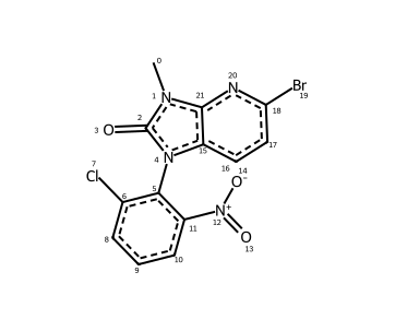 Cn1c(=O)n(-c2c(Cl)cccc2[N+](=O)[O-])c2ccc(Br)nc21